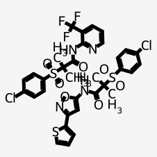 CC(C)(C(=O)Nc1cc(-c2cccs2)no1)S(=O)(=O)c1ccc(Cl)cc1.CC(C)(C(=O)Nc1ncccc1C(F)(F)F)S(=O)(=O)c1ccc(Cl)cc1